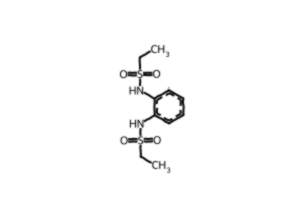 CCS(=O)(=O)Nc1[c]cccc1NS(=O)(=O)CC